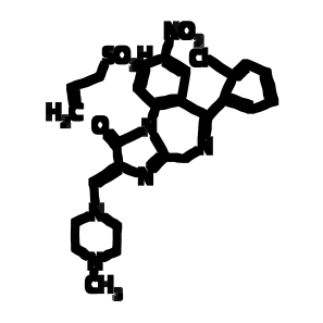 C=CCS(=O)(=O)O.CN1CCN(/C=C2\N=C3CN=C(c4ccccc4Cl)c4cc([N+](=O)[O-])ccc4N3C2=O)CC1